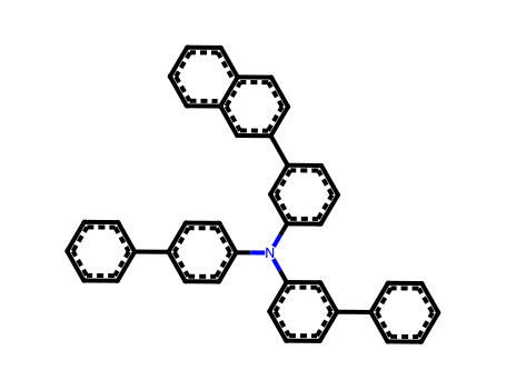 c1ccc(-c2ccc(N(c3cccc(-c4ccccc4)c3)c3cccc(-c4ccc5ccccc5c4)c3)cc2)cc1